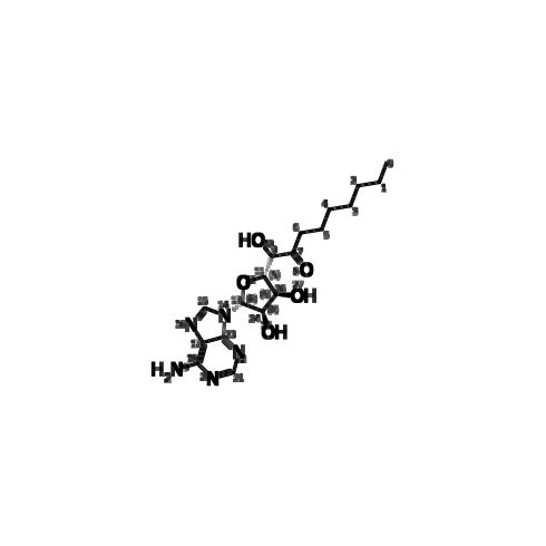 CCCCCCCC(=O)C(O)[C@H]1O[C@@H](n2cnc3c(N)ncnc32)[C@H](O)[C@@H]1O